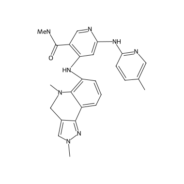 CNC(=O)c1cnc(Nc2ccc(C)cn2)cc1Nc1cccc2c1N(C)Cc1cn(C)nc1-2